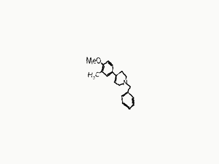 COc1ccc(C2=CCN(Cc3ccccc3)CC2)cc1C